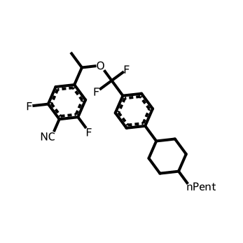 CCCCCC1CCC(c2ccc(C(F)(F)OC(C)c3cc(F)c(C#N)c(F)c3)cc2)CC1